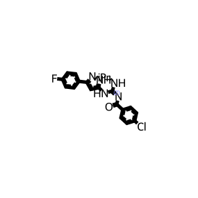 CC(C)N/C(=N/C(=O)c1ccc(Cl)cc1)Nc1cc(-c2ccc(F)cc2)n[nH]1